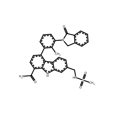 Cc1c(-c2ccc(C(N)=O)c3[nH]c4cc(CNS(C)(=O)=O)ccc4c23)cccc1N1Cc2ccccc2C1=O